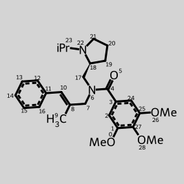 COc1cc(C(=O)N(CC(C)=Cc2ccccc2)C[C@@H]2CCCN2C(C)C)cc(OC)c1OC